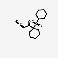 [N-]=[N+]=CC(=O)C1(S(=O)(=O)C2CCCCC2)CCCCC1